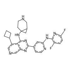 Fc1ccc(F)c(Nc2cc(-c3nc(NC45CCNCC4C5)c4c(C5CCC5)cncc4n3)ccn2)n1